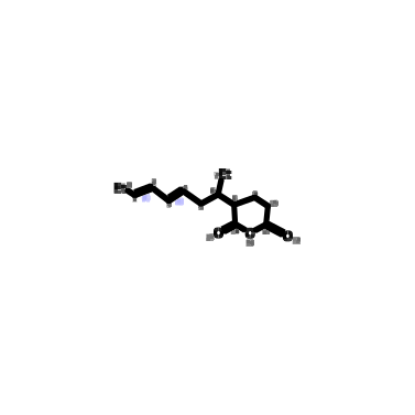 CC/C=C/C=C/CC(CC)C1CCC(=O)OC1=O